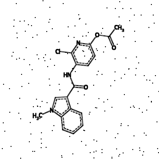 CC(=O)Oc1ccc(NC(=O)c2cn(C)c3ccccc23)c(Cl)n1